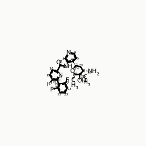 C[C@@H]1O[C@H](c2ccncc2NC(=O)c2ccc(F)c(-c3c(F)cccc3F)n2)C[C@H](N)[C@@]1(C)O